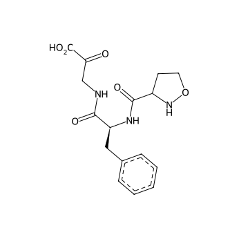 O=C(O)C(=O)CNC(=O)[C@H](Cc1ccccc1)NC(=O)C1CCON1